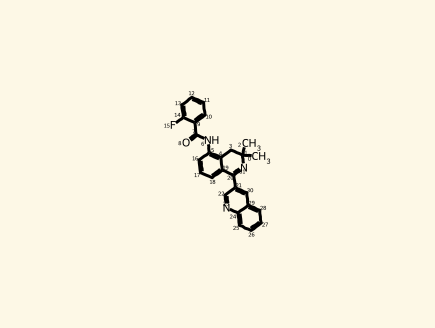 CC1(C)Cc2c(NC(=O)c3ccccc3F)cccc2C(c2cnc3ccccc3c2)=N1